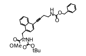 COC(=O)[C@@H](Cc1ccc(C#CCCNC(=O)OCc2ccccc2)c2ccccc12)NC(=O)OC(C)(C)C